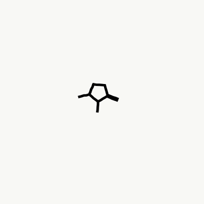 C=C1CCC(C)C1C